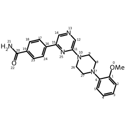 COc1ccccc1N1CCN(c2cncc(-c3ccc(C(N)=O)cc3)n2)CC1